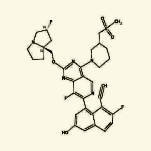 C#Cc1c(F)ccc2cc(O)cc(-c3ncc4c(N5CCCC(CS(C)(=O)=O)C5)nc(OC[C@@]56CCCN5C[C@H](F)C6)nc4c3F)c12